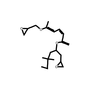 C=C(/C=C\C=C(/C)OCC1CO1)OC(CC1CO1)CC(C)(C)CC